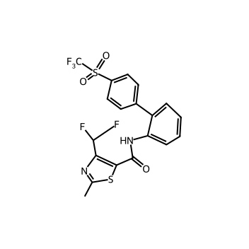 Cc1nc(C(F)F)c(C(=O)Nc2ccccc2-c2ccc(S(=O)(=O)C(F)(F)F)cc2)s1